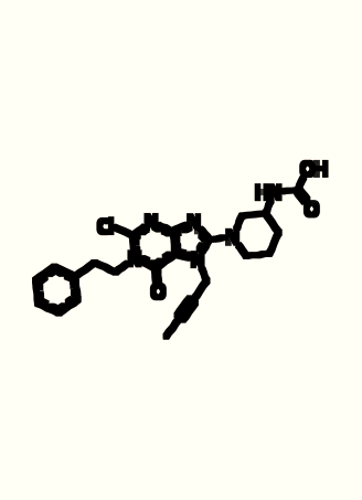 CC#CCn1c(N2CCCC(NC(=O)O)C2)nc2nc(Cl)n(CCc3ccccc3)c(=O)c21